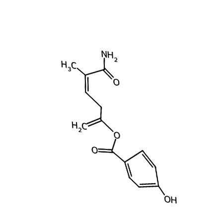 C=C(CC=C(C)C(N)=O)OC(=O)c1ccc(O)cc1